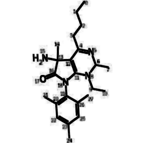 CCCCC1=NC(C)N(CC)C2=C1C(C)(N)C(=O)N2c1c(C)cc(C)cc1C